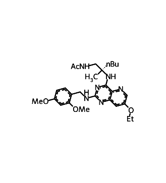 CCCC[C@](C)(CNC(C)=O)Nc1nc(NCc2ccc(OC)cc2OC)nc2cc(OCC)cnc12